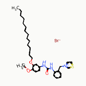 CCCCCCCCCCCCCCOc1cc(NC(=O)Nc2ccccc2C[n+]2ccsc2)ccc1OC.[Br-]